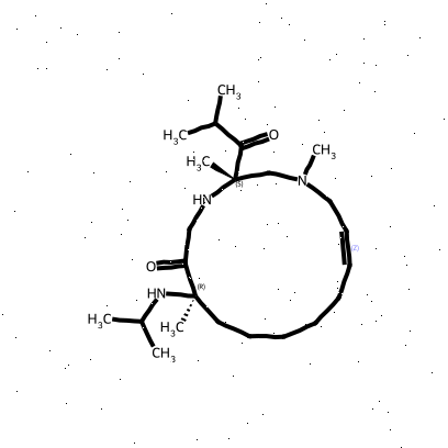 CC(C)N[C@]1(C)CCCCC/C=C\CN(C)C[C@@](C)(C(=O)C(C)C)NCC1=O